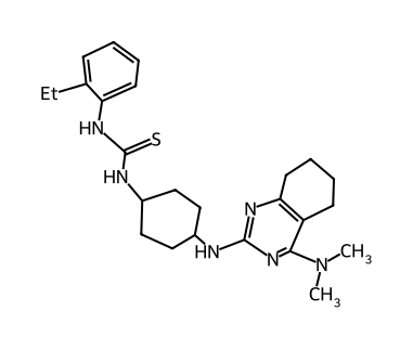 CCc1ccccc1NC(=S)NC1CCC(Nc2nc3c(c(N(C)C)n2)CCCC3)CC1